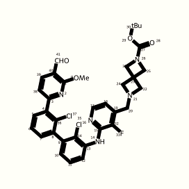 COc1nc(-c2cccc(-c3cccc(Nc4nccc(CN5CC6(C5)CN(C(=O)OC(C)(C)C)C6)c4F)c3Cl)c2Cl)ccc1C=O